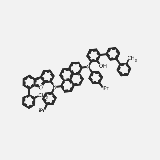 Cc1ccccc1-c1cccc(-c2cccc(N(c3ccc(C(C)C)cc3)c3ccc4ccc5c(N(c6ccc(C(C)C)cc6)c6cccc7c6oc6c(-c8ccccc8C)cccc67)ccc6ccc3c4c65)c2O)c1